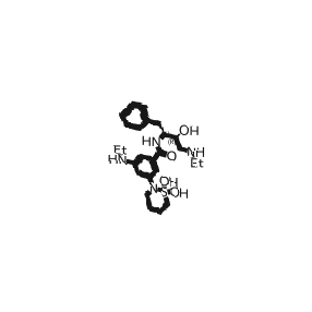 CCNC[C@@H](O)[C@H](Cc1ccccc1)NC(=O)c1cc(NCC)cc(N2CCCCS2(O)O)c1